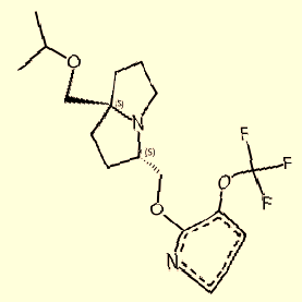 CC(C)OC[C@@]12CCCN1[C@H](COc1ncccc1OC(F)(F)F)CC2